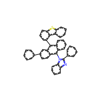 c1ccc(-c2ccc3c(-n4c(-c5ccccc5)nc5ccccc54)c4ccccc4c(-c4cccc5sc6ccccc6c45)c3c2)cc1